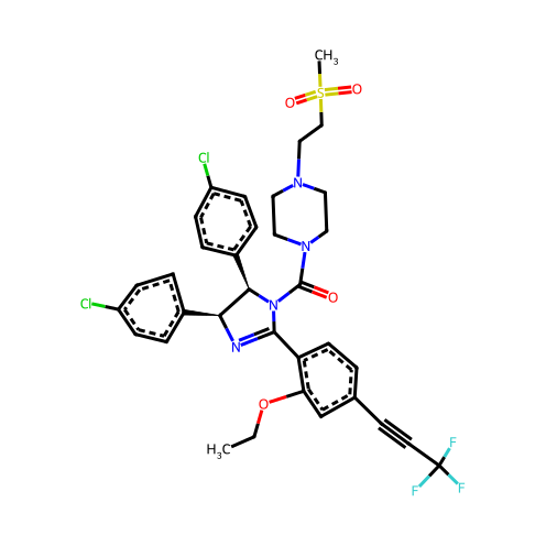 CCOc1cc(C#CC(F)(F)F)ccc1C1=N[C@@H](c2ccc(Cl)cc2)[C@@H](c2ccc(Cl)cc2)N1C(=O)N1CCN(CCS(C)(=O)=O)CC1